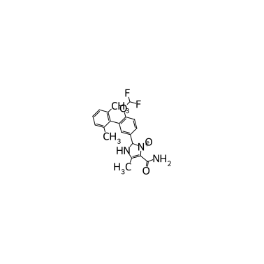 CC1=C(C(N)=O)[N+](=O)C(c2ccc(OC(F)F)c(-c3c(C)cccc3C)c2)N1